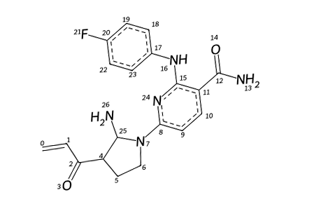 C=CC(=O)C1CCN(c2ccc(C(N)=O)c(Nc3ccc(F)cc3)n2)C1N